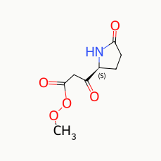 COOC(=O)CC(=O)[C@@H]1CCC(=O)N1